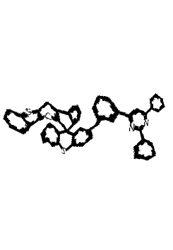 c1ccc(-c2cc(-c3cccc(-c4ccc5c(c4)C4(c6ccccc6S5)c5ccccc5-c5cc6sc7ccccc7c6cc54)c3)nc(-c3ccccc3)n2)cc1